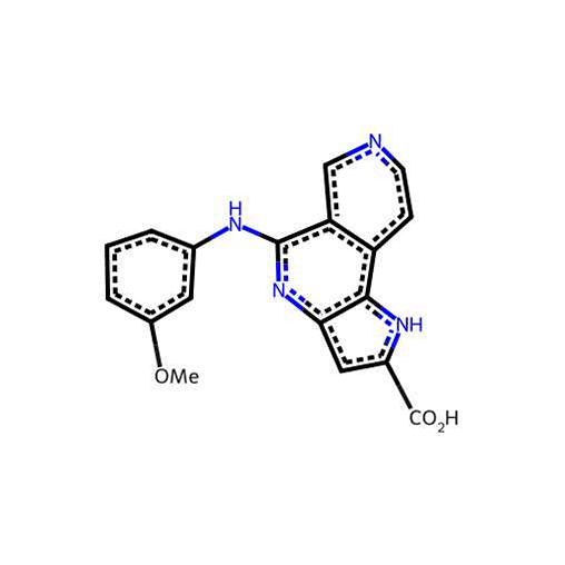 COc1cccc(Nc2nc3cc(C(=O)O)[nH]c3c3ccncc23)c1